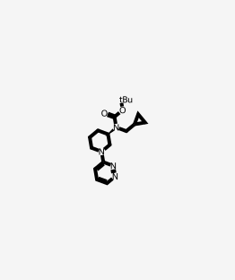 CC(C)(C)OC(=O)N(CC1CC1)[C@@H]1CCCN(c2cccnn2)C1